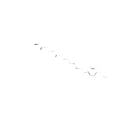 C=CC(=O)OCCC(=O)OCCCCCCOc1ccc(OOCl)cc1